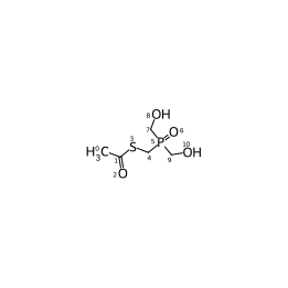 CC(=O)SCP(=O)(CO)CO